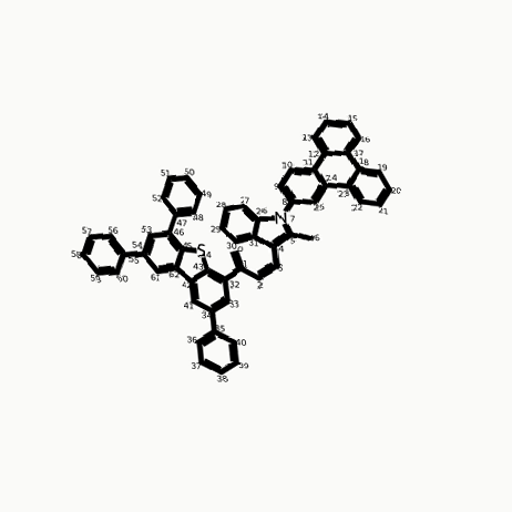 C=C(/C=C\c1c(C)n(-c2ccc3c4ccccc4c4ccccc4c3c2)c2ccccc12)c1cc(-c2ccccc2)cc2c1sc1c(-c3ccccc3)cc(-c3ccccc3)cc12